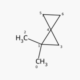 CC1(C)CC12[CH]C2